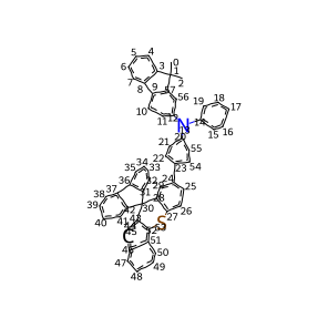 CC1(C)c2ccccc2-c2ccc(N(c3ccccc3)c3ccc(-c4ccc5c(c4)C4(c6ccccc6-c6ccccc64)c4ccc6ccccc6c4S5)cc3)cc21